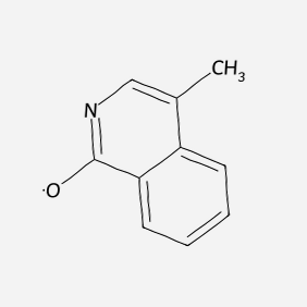 Cc1cnc([O])c2ccccc12